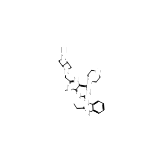 CCc1nc2ccccc2n1-c1nc(N2CCOCC2)c2nc(CN3CC4NCC43)n(C)c2n1